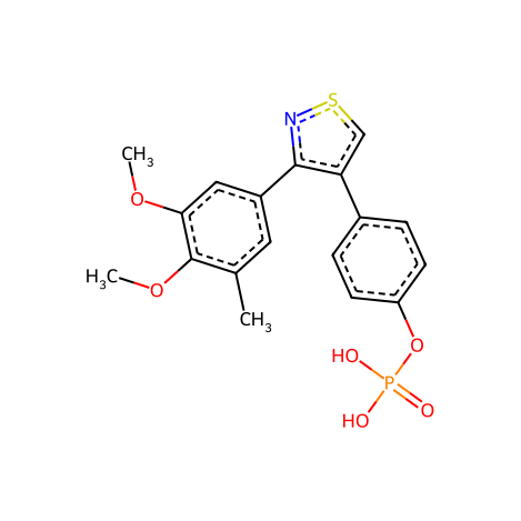 COc1cc(-c2nscc2-c2ccc(OP(=O)(O)O)cc2)cc(C)c1OC